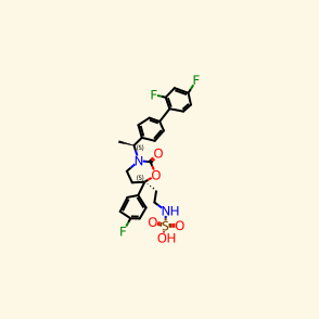 C[C@@H](c1ccc(-c2ccc(F)cc2F)cc1)N1CC[C@](CCNS(=O)(=O)O)(c2ccc(F)cc2)OC1=O